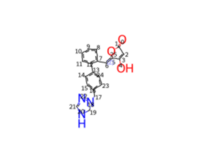 O=C1C=C(O)/C(=C/c2ccccc2-c2ccc(CN3CNC=N3)cc2)O1